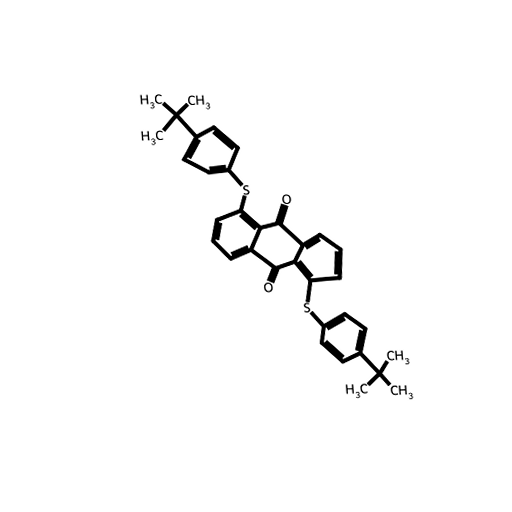 CC(C)(C)c1ccc(Sc2cccc3c2C(=O)c2cccc(Sc4ccc(C(C)(C)C)cc4)c2C3=O)cc1